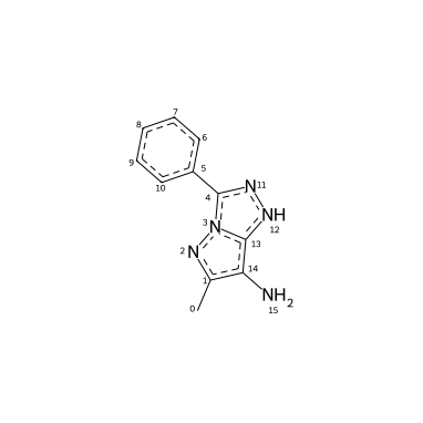 Cc1nn2c(-c3ccccc3)n[nH]c2c1N